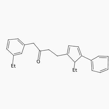 CCc1cccc(CC(=O)CCC2=CC=C(c3ccccc3)C2CC)c1